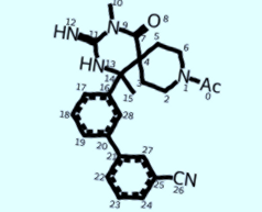 CC(=O)N1CCC2(CC1)C(=O)N(C)C(=N)NC2(C)c1cccc(-c2cccc(C#N)c2)c1